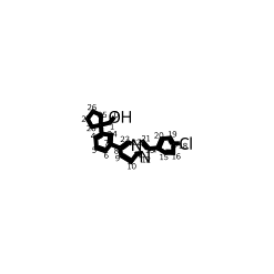 OCC1(c2cccc(-c3ccc4nc(-c5ccc(Cl)cc5)cn4c3)c2)CCCC1